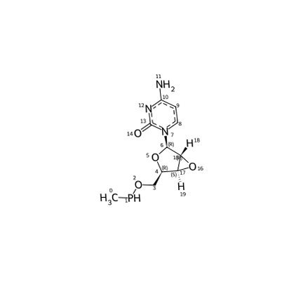 CPOC[C@H]1O[C@@H](n2ccc(N)nc2=O)[C@@H]2O[C@H]21